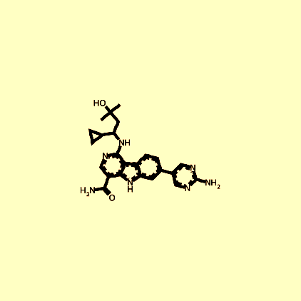 CC(C)(O)CC(Nc1ncc(C(N)=O)c2[nH]c3cc(-c4cnc(N)nc4)ccc3c12)C1CC1